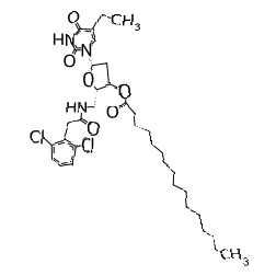 CCCCCCCCCCCCCCCC(=O)OC1C[C@@H](n2cc(CC)c(=O)[nH]c2=O)O[C@H]1CNC(=O)Cc1c(Cl)cccc1Cl